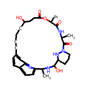 CC1NC(=O)C(C(C)C)OC(=O)CCC(O)CCCCc2ccc3ccc(nc3c2)C(C)NC(O)C2CCCN(N2)C1=O